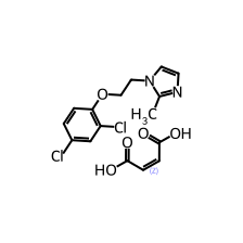 Cc1nccn1CCOc1ccc(Cl)cc1Cl.O=C(O)/C=C\C(=O)O